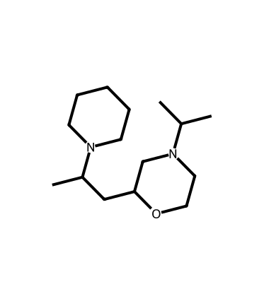 CC(C)N1CCOC(CC(C)N2CCCCC2)C1